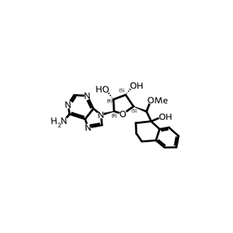 COC([C@H]1O[C@@H](n2cnc3c(N)ncnc32)[C@H](O)[C@@H]1O)C1(O)CCCc2ccccc21